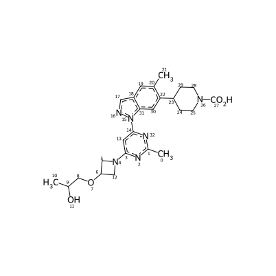 Cc1nc(N2CC(OCC(C)O)C2)cc(-n2ncc3cc(C)c(C4CCN(C(=O)O)CC4)cc32)n1